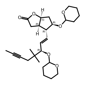 CC#CCC(C)(C)[C@@H](C=C[C@@H]1[C@H]2CC(=O)O[C@H]2C[C@H]1OC1CCCCO1)OC1CCCCO1